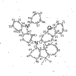 CC1(C)c2ccccc2-c2c(N(c3ccc4c(c3)oc3ccccc34)c3ccc4c5ccccc5n(-c5ccccc5)c4c3)cccc21